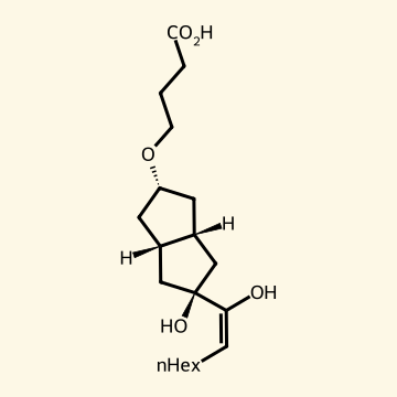 CCCCCC/C=C(/O)[C@@]1(O)C[C@H]2C[C@@H](OCCCC(=O)O)C[C@H]2C1